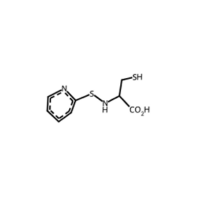 O=C(O)C(CS)NSc1ccccn1